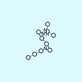 c1ccc(-c2ccc(-c3ccc(-n4c5ccccc5c5ccc(-c6ccc7c8ccccc8n(-c8nc(-c9ccccc9)cc(-c9ccccc9)n8)c7c6)cc54)cc3)cc2)cc1